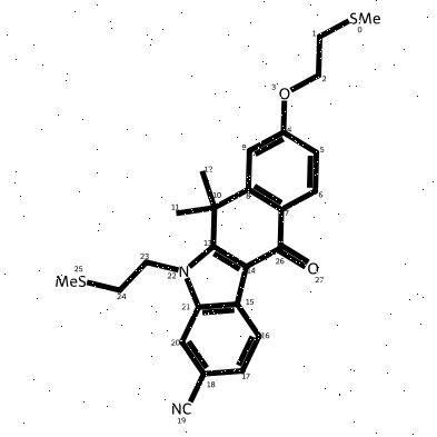 CSCCOc1ccc2c(c1)C(C)(C)c1c(c3ccc(C#N)cc3n1CCSC)C2=O